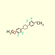 CCc1ccc(C2CCC(c3ccc(OC)c(F)c3F)CC2)c(F)c1F